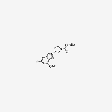 CC(=O)Oc1cc(F)cc2cn(C3CCN(C(=O)OC(C)(C)C)C3)nc12